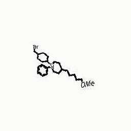 COCCCCCC1CC[Si](c2ccccc2)(C2CCC(CBr)CC2)CC1